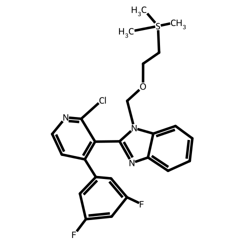 CS(C)(C)CCOCn1c(-c2c(-c3cc(F)cc(F)c3)ccnc2Cl)nc2ccccc21